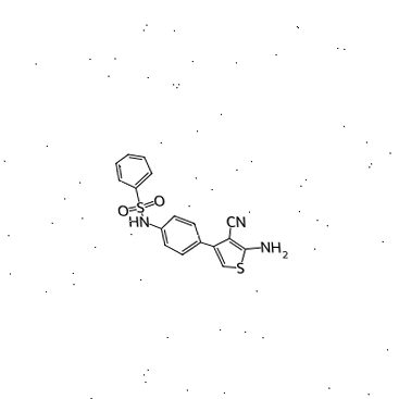 N#Cc1c(-c2ccc(NS(=O)(=O)c3ccccc3)cc2)csc1N